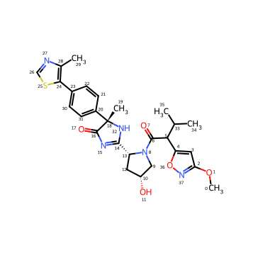 COc1cc(C(C(=O)N2C[C@H](O)C[C@@H]2C2=NC(=O)[C@](C)(c3ccc(-c4scnc4C)cc3)N2)C(C)C)on1